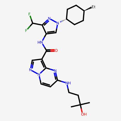 CC[C@H]1CC[C@H](n2cc(NC(=O)c3cnn4ccc(NCCC(C)(C)O)nc34)c(C(F)F)n2)CC1